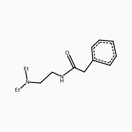 CCN(CC)CCNC(=O)Cc1ccccc1